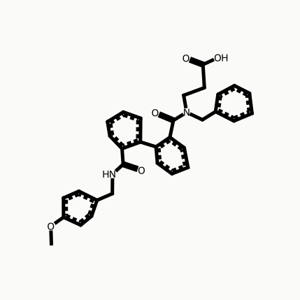 COc1ccc(CNC(=O)c2ccccc2-c2ccccc2C(=O)N(CCC(=O)O)Cc2ccccc2)cc1